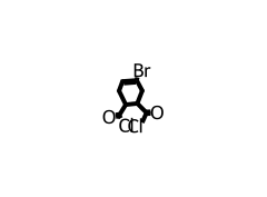 O=C(Cl)C1CC=C(Br)CC1C(=O)Cl